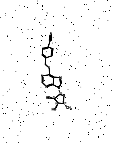 C[C@H]1O[C@@H](n2cnc3c(SCc4ccc(C#N)cc4)ncnc32)[C@H](O)[C@@H]1O